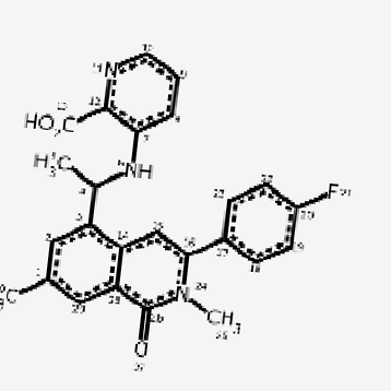 Cc1cc(C(C)Nc2cccnc2C(=O)O)c2cc(-c3ccc(F)cc3)n(C)c(=O)c2c1